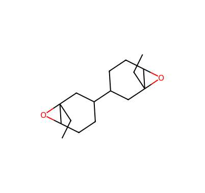 CCC12CC(C3CCC4OC4(CC)C3)CCC1O2